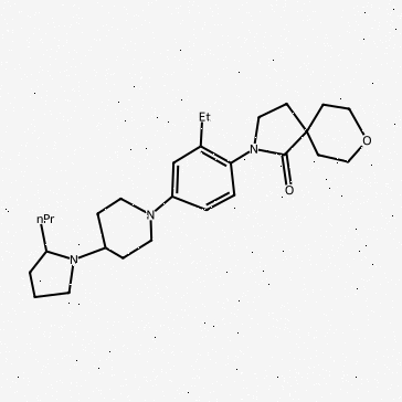 CCCC1CCCN1C1CCN(c2ccc(N3CCC4(CCOCC4)C3=O)c(CC)c2)CC1